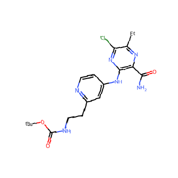 CCc1nc(C(N)=O)c(Nc2ccnc(CCNC(=O)OC(C)(C)C)c2)nc1Cl